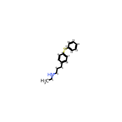 CCNCCCc1ccc(Sc2ccccc2)cc1